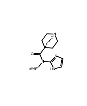 CCCCCCCN(C(=O)C12CCN(CC1)CC2)c1ncc[nH]1